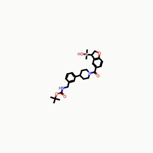 CC(C)(C)OC(=O)NCc1cccc(C2CCN(C(=O)c3ccc4c(c3)C([Si](C)(C)O)CO4)CC2)c1